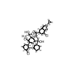 CC(C)(O)c1cc([C@@](O)(CNC(=O)c2cc(Cl)c3nn(C4CC4)cc3c2)c2ccccc2)nc(-c2cccc(Cl)c2Cl)c1Cl